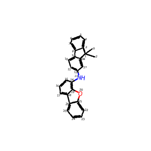 CC1(C)c2ccccc2-c2ccc(Nc3cccc4c3oc3ccccc34)cc21